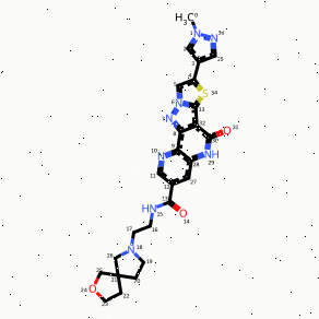 Cn1cc(-c2cn3nc4c5ncc(C(=O)NCCN6CCC7(CCOC7)C6)cc5[nH]c(=O)c4c3s2)cn1